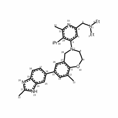 CCN(CC)Cc1cc(N2CCOc3c(C)cc(-c4ccc5nc(C)[nH]c5c4)cc3C2)c(C(C)C)c(C)n1